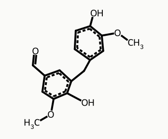 COc1cc(Cc2cc(C=O)cc(OC)c2O)ccc1O